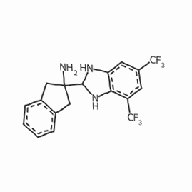 NC1(C2Nc3cc(C(F)(F)F)cc(C(F)(F)F)c3N2)Cc2ccccc2C1